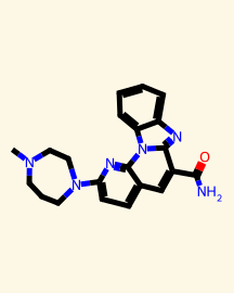 CN1CCCN(c2ccc3cc(C(N)=O)c4nc5ccccc5n4c3n2)CC1